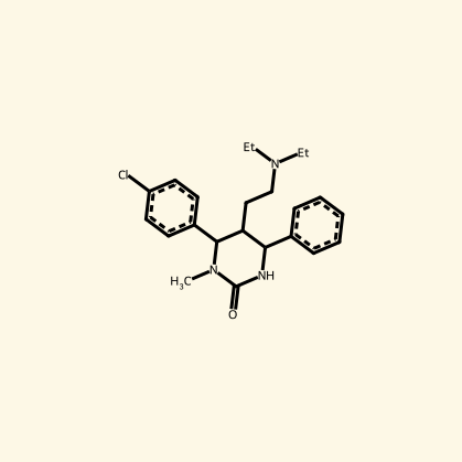 CCN(CC)CCC1C(c2ccccc2)NC(=O)N(C)C1c1ccc(Cl)cc1